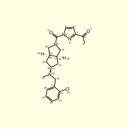 CC(=O)c1ccn(C(=O)N2C[C@H]3C[C@@H](N(C)Cc4ccccc4Cl)C[C@H]3C2)n1